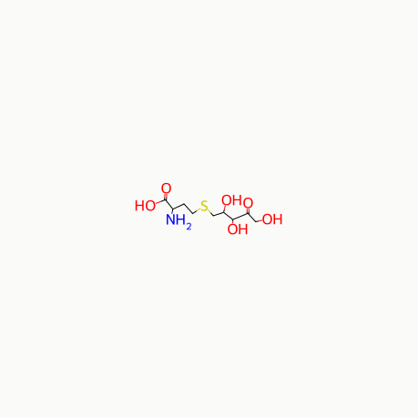 NC(CCSCC(O)C(O)C(=O)CO)C(=O)O